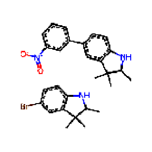 CC1Nc2ccc(-c3cccc([N+](=O)[O-])c3)cc2C1(C)C.CC1Nc2ccc(Br)cc2C1(C)C